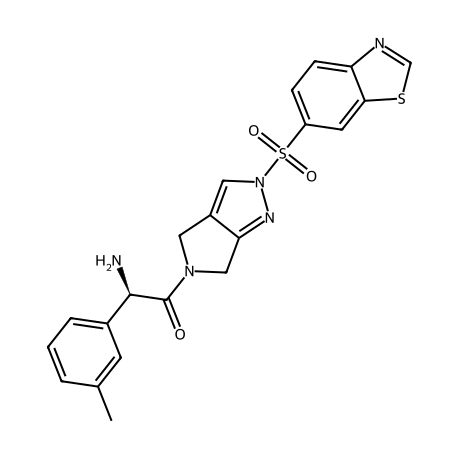 Cc1cccc([C@@H](N)C(=O)N2Cc3cn(S(=O)(=O)c4ccc5ncsc5c4)nc3C2)c1